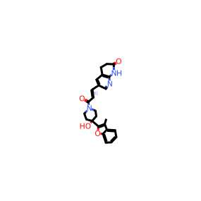 Cc1c(C2(O)CCN(C(=O)/C=C/c3cnc4c(c3)CCC(=O)N4)CC2)oc2ccccc12